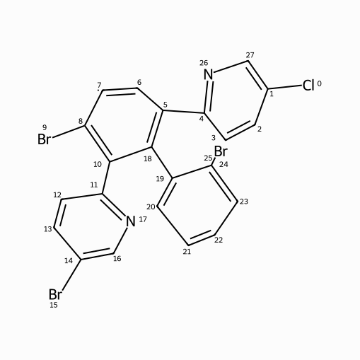 Clc1ccc(-c2c[c]c(Br)c(-c3ccc(Br)cn3)c2-c2ccccc2Br)nc1